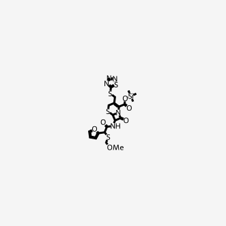 COCSC(C(=O)NC1C(=O)N2C(C(=O)O[Si](C)(C)C)=C(CSc3nnns3)CSC12)c1ccco1